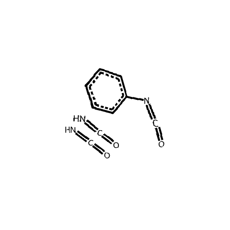 N=C=O.N=C=O.O=C=Nc1ccccc1